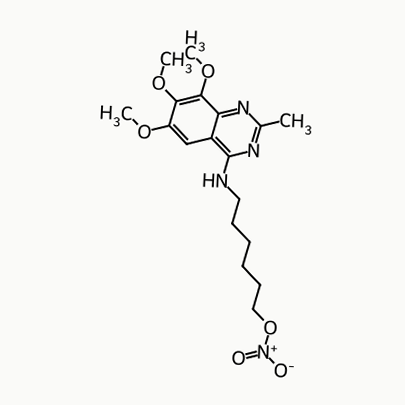 COc1cc2c(NCCCCCCO[N+](=O)[O-])nc(C)nc2c(OC)c1OC